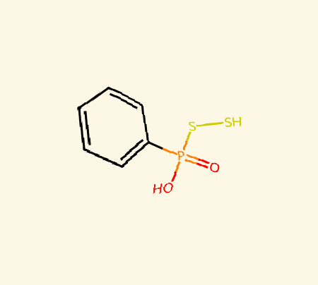 O=P(O)(SS)c1ccccc1